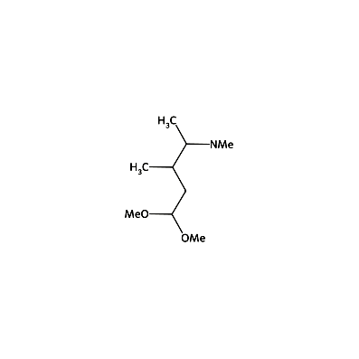 CNC(C)C(C)CC(OC)OC